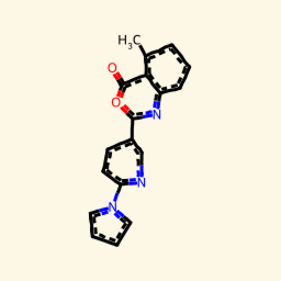 Cc1cccc2nc(-c3ccc(-n4cccc4)nc3)oc(=O)c12